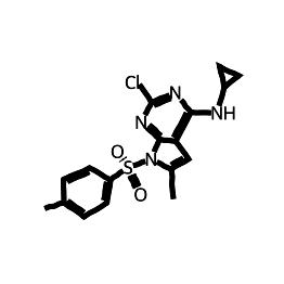 Cc1ccc(S(=O)(=O)n2c(C)cc3c(NC4CC4)nc(Cl)nc32)cc1